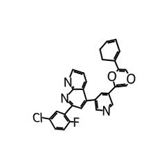 Fc1ccc(Cl)cc1-c1cc(-c2cncc(C3=COC=C(C4=CC=CCC4)O3)c2)c2cccnc2n1